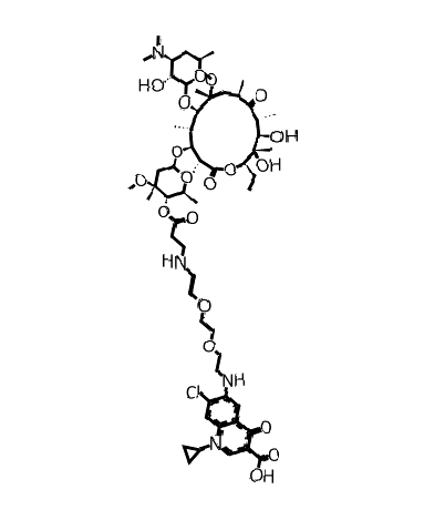 CC[C@H]1OC(=O)[C@H](C)[C@@H](OC2C[C@@](C)(OC)[C@@H](OC(=O)CCNCCOCCOCCNc3cc4c(=O)c(C(=O)O)cn(C5CC5)c4cc3Cl)[C@H](C)O2)[C@H](C)[C@@H](OC2O[C@H](C)C[C@H](N(C)C)[C@H]2O)[C@](C)(OC)C[C@@H](C)C(=O)[C@H](C)[C@@H](O)[C@]1(C)O